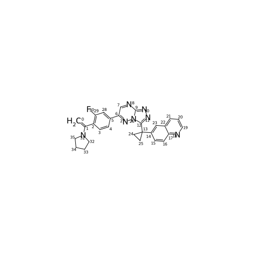 C=C(c1ccc(-c2cnc3nnc(C4(c5ccc6ncccc6c5)CC4)n3n2)cc1F)N1CCCC1